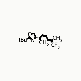 C=C(/C=C\C=C(/C)C(F)(F)F)[C@H]1COC(C(C)(C)C)=N1